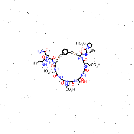 CC(C)C[C@H](NC(=O)[C@@H]1CSCc2cccc(c2)CSC[C@H](NC(=O)[C@H](CCC(N)=O)NC(=O)[C@@H](N)CC(C)C)C(=O)N[C@@H](CC(=O)O)C(=O)N[C@@H](C)C(=O)N[C@@H](CCC(=O)O)C(=O)N[C@@H]([C@H](C)O)C(=O)NCC(=O)N[C@@H](CCC(=O)O)C(=O)N1)C(=O)N1CCC[C@H]1C(=O)O